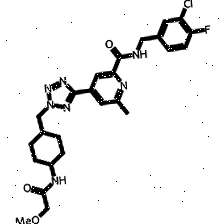 COCC(=O)NC1CCC(Cn2nnc(-c3cc(C)nc(C(=O)NCc4ccc(F)c(Cl)c4)c3)n2)CC1